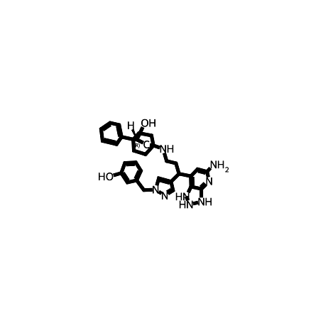 Nc1cc(C(CCNC23CCC(c4ccccc4)(CC2)[C@H](O)C3)c2cnn(Cc3cccc(O)c3)c2)c2c(n1)NNN2